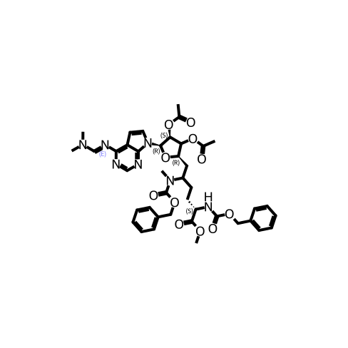 COC(=O)[C@H](CCC(C[C@H]1O[C@@H](n2ccc3c(/N=C/N(C)C)ncnc32)[C@@H](OC(C)=O)C1OC(C)=O)N(C)C(=O)OCc1ccccc1)NC(=O)OCc1ccccc1